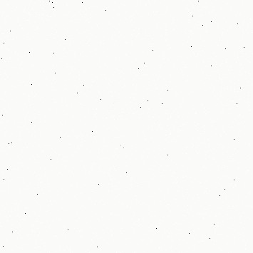 CN1C2=C(CCCC2)C(=O)CCc2ccccc21